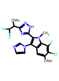 COc1cc2c(-n3ccnc3)c(-c3nc(C(OC)C(F)F)n[nH]3)n(C)c2c(F)c1Cl